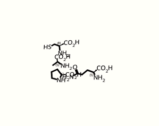 C[C@H](N)C(=O)O.NC(=O)CC[C@H](N)C(=O)O.N[C@@H](CS)C(=O)O.O=C(O)[C@@H]1CCCN1